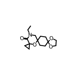 CCN1CC2(CCC3(CC2)OCCO3)OC2(CC2)C1=O